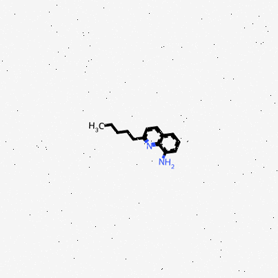 CCCCCc1ccc2cccc(N)c2n1